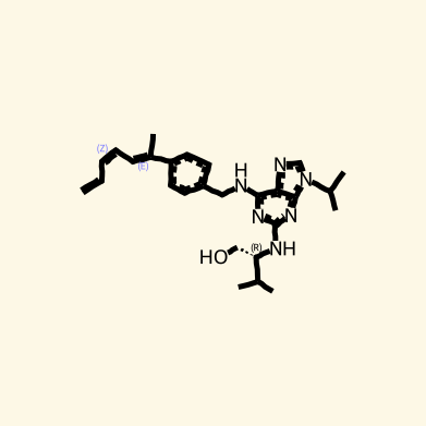 C=C/C=C\C=C(/C)c1ccc(CNc2nc(N[C@@H](CO)C(C)C)nc3c2ncn3C(C)C)cc1